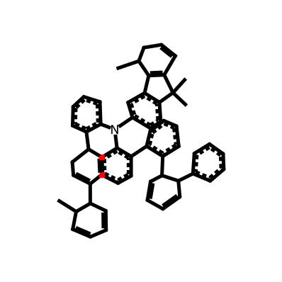 CC1CC=CC2=C1c1cc(N(c3ccccc3-c3ccccc3C3C=CC=CC3c3ccccc3)c3ccccc3C3C=CC(C4C=CC=CC4C)=CC3)ccc1C2(C)C